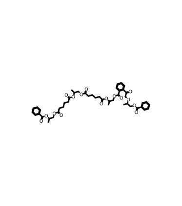 CC(COC(=O)c1ccccc1)OCC(=O)c1ccccc1C(=O)OCC(C)OC(=O)CCCCC(=O)OCC(C)OC(=O)CCCCC(=O)OCC(C)OC(=O)c1ccccc1